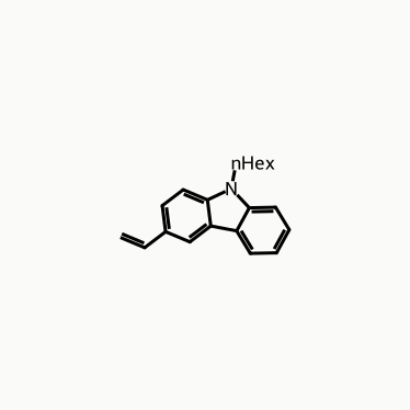 C=Cc1ccc2c(c1)c1ccccc1n2CCCCCC